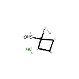 CC1(C=O)CCC1.Cl